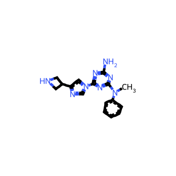 CN(c1ccccc1)c1nc(N)nc(-n2cnc(C3CNC3)c2)n1